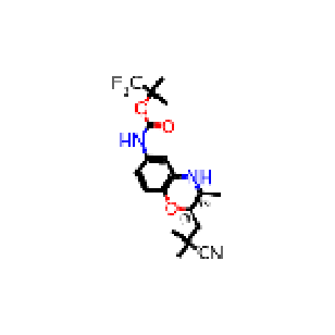 C[C@@H]1Nc2cc(NC(=O)OC(C)(C)C(F)(F)F)ccc2O[C@@H]1CC(C)(C)C#N